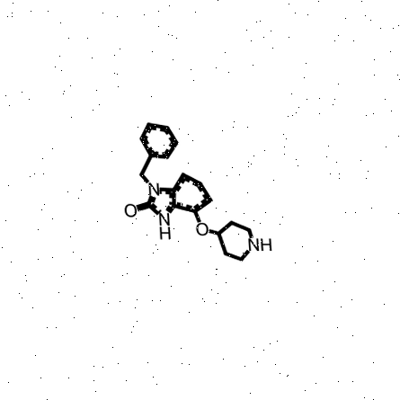 O=c1[nH]c2c(OC3CCNCC3)cccc2n1Cc1ccccc1